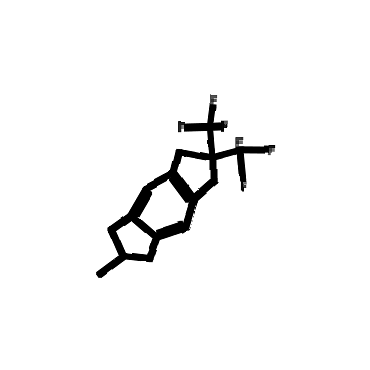 CC1Cc2cc3c(cc2C1)CC(C(F)(F)F)(C(F)(F)F)C3